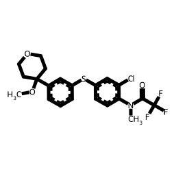 COC1(c2cccc(Sc3ccc(N(C)C(=O)C(F)(F)F)c(Cl)c3)c2)CCOCC1